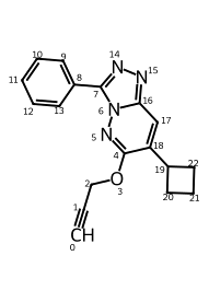 C#CCOc1nn2c(-c3ccccc3)nnc2cc1C1CCC1